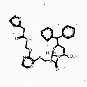 O=C(Cc1cccs1)NCOc1nccnc1SC[C@@H]1C(=O)N2C(C(=O)O)=CC(C(c3ccccc3)c3ccccc3)S[C@H]12